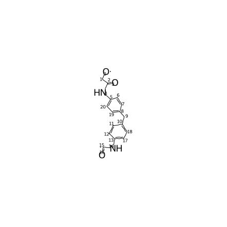 [O]CC(=O)Nc1ccc(Cc2ccc(N[C]=O)cc2)cc1